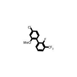 COc1cc(Cl)ccc1-c1cc[c]c(C(F)(F)F)c1F